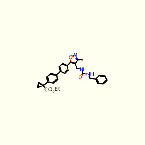 CCOC(=O)C1(c2ccc(-c3ccc(-c4onc(C)c4CNC(=O)NCc4ccccc4)cc3)cc2)CC1